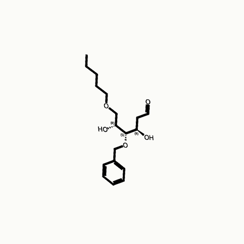 CCCCCOC[C@@H](O)[C@@H](OCc1ccccc1)[C@H](O)CC=O